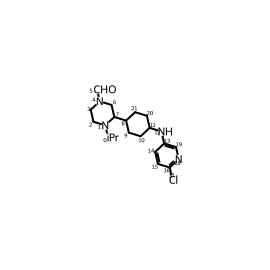 CC(C)N1CCN(C=O)CC1C1CCC(Nc2ccc(Cl)nc2)CC1